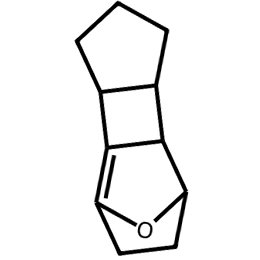 C1CC2C3=C4CCC(O4)C3C2C1